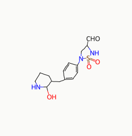 O=CC1CN(c2ccc(CC3CCCNC3O)cc2)S(=O)(=O)N1